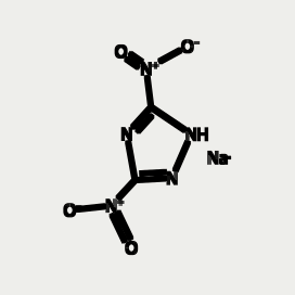 O=[N+]([O-])c1n[nH]c([N+](=O)[O-])n1.[Na]